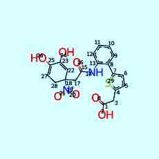 O=C(O)Cc1ccc(-c2ccccc2NC(=O)CC2([N+](=O)[O-])C=C(O)C(O)=CC2)s1